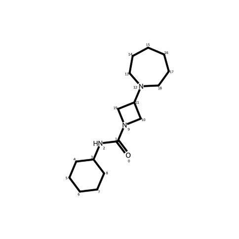 O=C(NC1CCCCC1)N1CC(N2CCCCCC2)C1